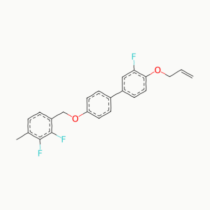 C=CCOc1ccc(-c2ccc(OCc3ccc(C)c(F)c3F)cc2)cc1F